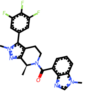 C[C@H]1c2nn(C)c(-c3cc(F)c(F)c(F)c3)c2CCN1C(=O)c1cccc2c1ncn2C